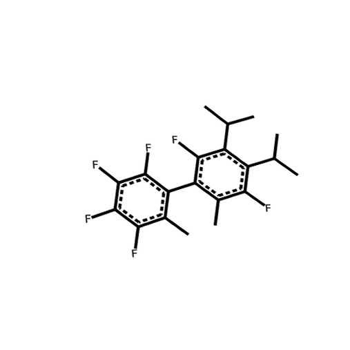 Cc1c(F)c(F)c(F)c(F)c1-c1c(C)c(F)c(C(C)C)c(C(C)C)c1F